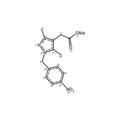 COC(=O)Cc1c(C)nn(Cc2ccc([N+](=O)[O-])cc2)c1C